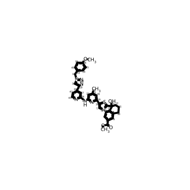 COC(=O)c1ccc2c(c1)CCCC2(O)c1ncc(-c2cc(C)cc(Nc3cc(-c4cn(Cc5ccc(OC)cc5)nn4)ccn3)n2)s1